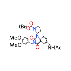 COc1ccc(Cn2c(=O)c3cc(CNC(C)=O)ccc3n(C3CCCN(C(=O)OC(C)(C)C)C3)c2=O)cc1OC